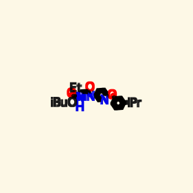 CC[C@@H](NC(=O)OCC(C)C)C(=O)Nc1ccc(Oc2cccc(C(C)C)c2)nc1